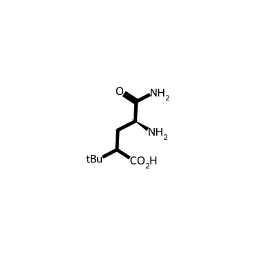 CC(C)(C)C(C[C@H](N)C(N)=O)C(=O)O